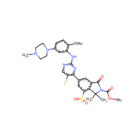 COc1ccc(N2CCN(C)CC2)cc1Nc1ncc(F)c(-c2cc3c(c([SH](=O)=O)c2)C(C)(C)N(C(=O)OC(C)(C)C)C3=O)n1